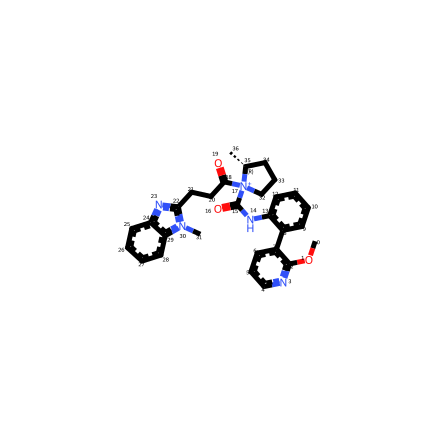 COc1ncccc1-c1ccccc1NC(=O)[N+]1(C(=O)CCc2nc3ccccc3n2C)CCC[C@H]1C